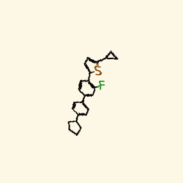 Fc1cc(-c2ccc(C3CCCC3)cc2)ccc1-c1ccc(C2CC2)s1